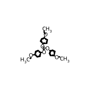 CCOc1ccc(OP(Oc2ccc(OCC)cc2)Oc2ccc(OCC)cc2)cc1